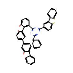 CC1(c2nc(-c3ccc4sc5ccccc5c4c3)nc(-c3cccc4oc5ccc(-c6ccc7c(c6)oc6ccccc67)cc5c34)n2)C=CC=CC1